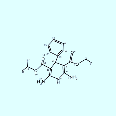 CCOC(=O)C1=C(N)NC(N)=C(C(=O)OC(C)C)C1c1ccccc1